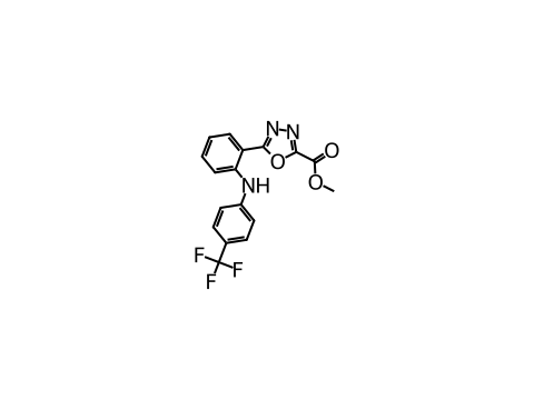 COC(=O)c1nnc(-c2ccccc2Nc2ccc(C(F)(F)F)cc2)o1